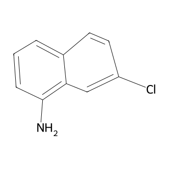 Nc1cccc2ccc(Cl)cc12